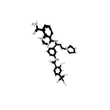 NC(=O)c1cccc2c(NC(CCN3CCCC3)c3cccc(NC(=O)c4ccc(C(F)(F)F)cc4F)c3)ncnc12